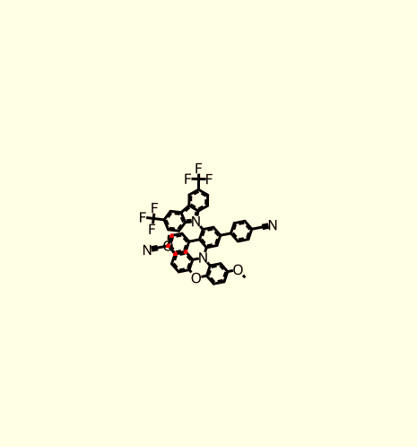 COc1ccc2c(c1)N(c1cc(-c3ccc(C#N)cc3)cc(-n3c4ccc(C(F)(F)F)cc4c4cc(C(F)(F)F)ccc43)c1-c1ccc(C#N)cc1)c1cc(OC)ccc1O2